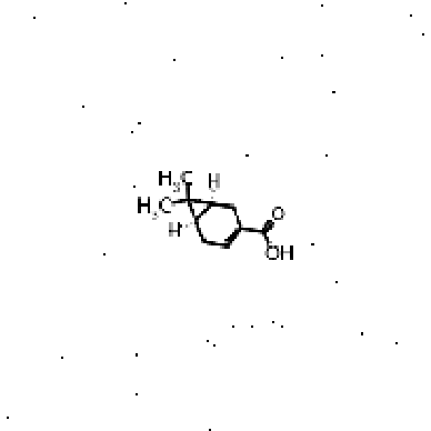 CC1(C)[C@@H]2CC=C(C(=O)O)C[C@@H]21